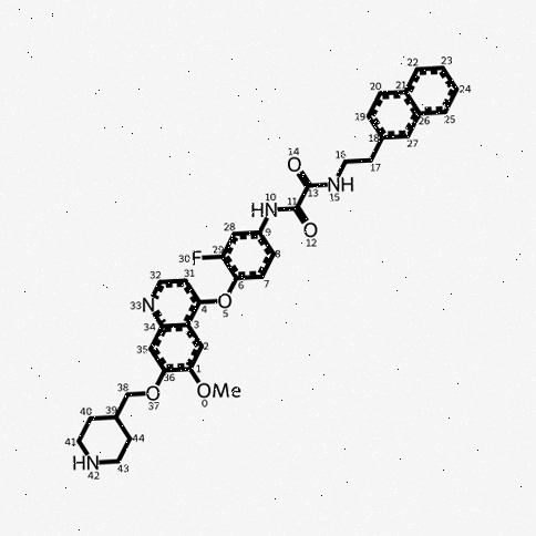 COc1cc2c(Oc3ccc(NC(=O)C(=O)NCCc4ccc5ccccc5c4)cc3F)ccnc2cc1OCC1CCNCC1